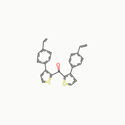 C=Cc1ccc(-c2ccsc2C(=O)c2sccc2-c2ccc(C=C)cc2)cc1